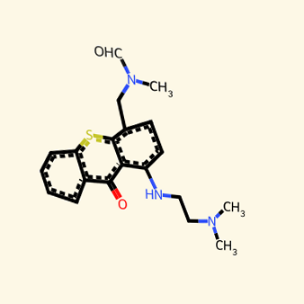 CN(C)CCNc1ccc(CN(C)C=O)c2sc3ccccc3c(=O)c12